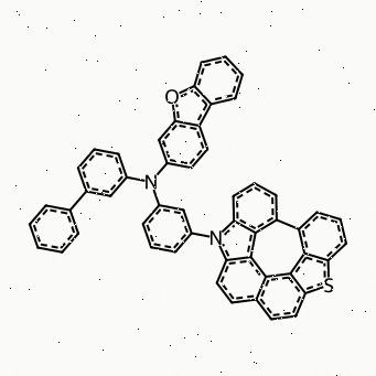 c1ccc(-c2cccc(N(c3cccc(-n4c5cccc6c5c5c7c(ccc8sc9cccc-6c9c87)ccc54)c3)c3ccc4c(c3)oc3ccccc34)c2)cc1